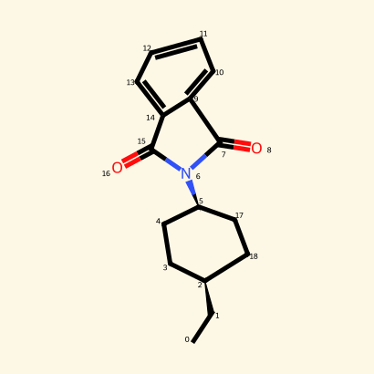 CC[C@H]1CC[C@@H](N2C(=O)c3ccccc3C2=O)CC1